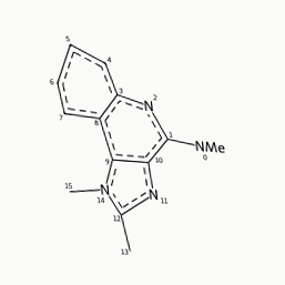 CNc1nc2ccccc2c2c1nc(C)n2C